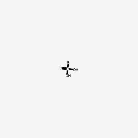 O=[P](O)(O)[K]